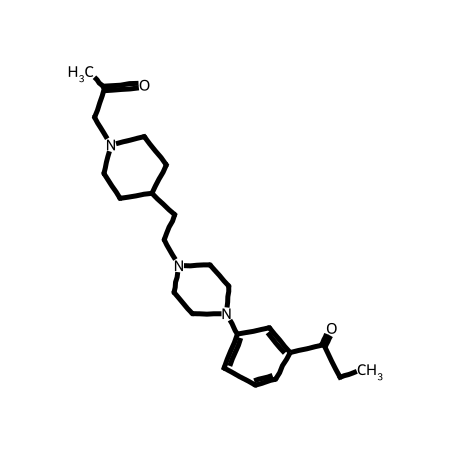 CCC(=O)c1cccc(N2CCN(CCC3CCN(CC(C)=O)CC3)CC2)c1